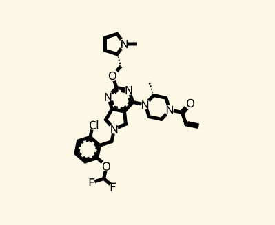 C=CC(=O)N1CCN(c2nc(OC[C@@H]3CCCN3C)nc3c2CN(Cc2c(Cl)cccc2OC(F)F)C3)[C@H](C)C1